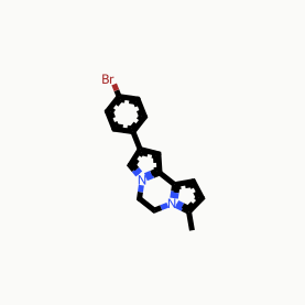 Cc1ccc2n1CCn1cc(-c3ccc(Br)cc3)cc1-2